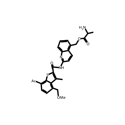 COCc1ccc(C(C)=O)c2sc(C(=O)Nc3ccc4c(COC(=O)C(C)N)cccc4n3)c(C)c12